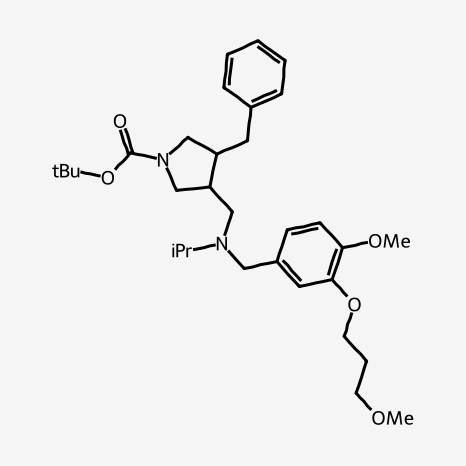 COCCCOc1cc(CN(CC2CN(C(=O)OC(C)(C)C)CC2Cc2ccccc2)C(C)C)ccc1OC